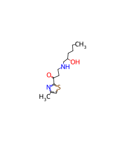 CCCCC(O)CNCCC(=O)c1nc(C)cs1